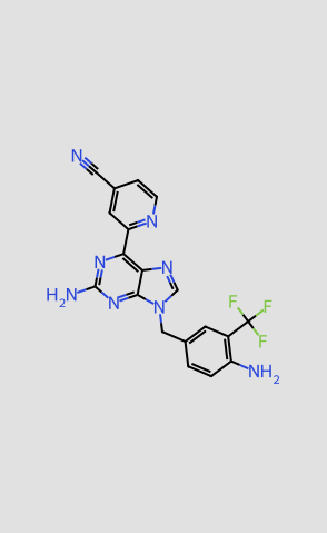 N#Cc1ccnc(-c2nc(N)nc3c2ncn3Cc2ccc(N)c(C(F)(F)F)c2)c1